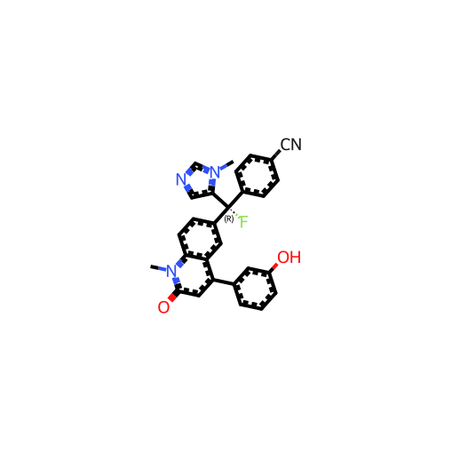 Cn1cncc1[C@@](F)(c1ccc(C#N)cc1)c1ccc2c(c1)c(-c1cccc(O)c1)cc(=O)n2C